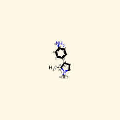 CCCN1CC[C@@H](c2ccc(N)cc2)[C@H]1C